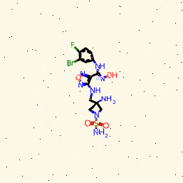 NC1(CNc2nonc2/C(=N/O)Nc2ccc(F)c(Br)c2)CN(S(N)(=O)=O)C1